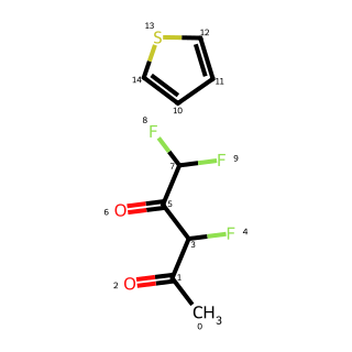 CC(=O)C(F)C(=O)C(F)F.c1ccsc1